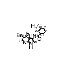 Cc1cccc(C(=O)Nc2c[nH]c3ncc(Br)c(F)c23)c1